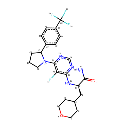 NC(=O)[C@@H](CC1CCOCC1)Nc1ncnc(N2CCCC2c2ccc(C(F)(F)F)cc2)c1F